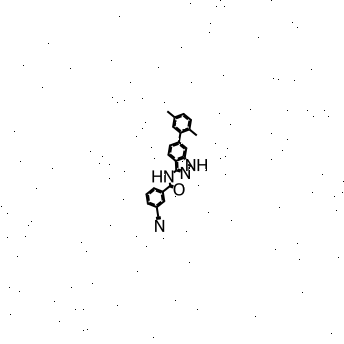 Cc1ccc(C)c(-c2ccc3c(NC(=O)c4cccc(C#N)c4)n[nH]c3c2)c1